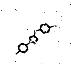 Cc1ccc(-n2cc(Oc3ccc(N)cc3)cn2)cc1